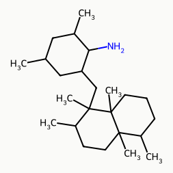 CC1CC(C)C(N)C(CC2(C)C(C)CCC3(C)C(C)CCCC32C)C1